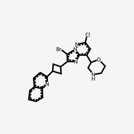 Clc1cc(C2CNCCO2)c2nc(C3CC(c4ccc5ccccc5n4)C3)c(Br)n2n1